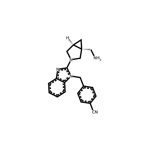 N#Cc1ccc(Cn2c(N3C[C@H]4C[C@@]4(CN)C3)nc3ccccc32)cc1